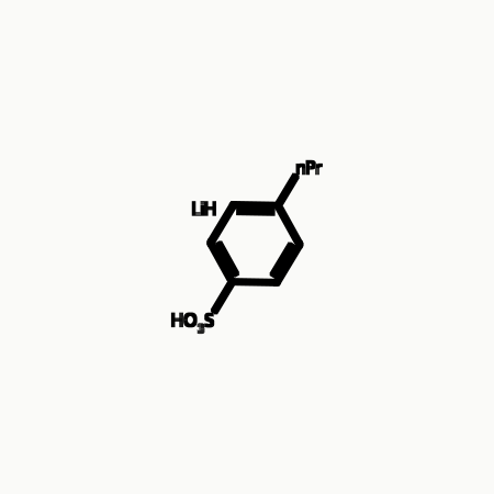 CCCc1ccc(S(=O)(=O)O)cc1.[LiH]